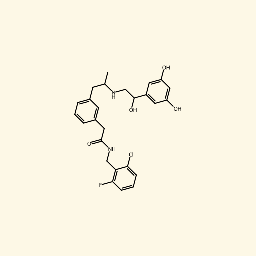 CC(Cc1cccc(CC(=O)NCc2c(F)cccc2Cl)c1)NCC(O)c1cc(O)cc(O)c1